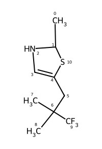 CC1NC=C(CC(C)(C)C(F)(F)F)S1